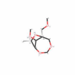 COC[C@]12COCOC(C1OC)[C@H](C)O2